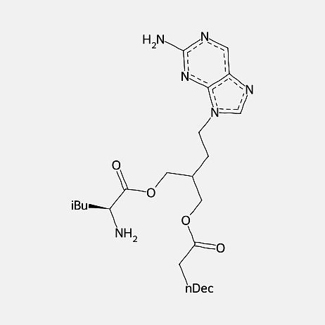 CCCCCCCCCCCC(=O)OCC(CCn1cnc2cnc(N)nc21)COC(=O)[C@@H](N)C(C)CC